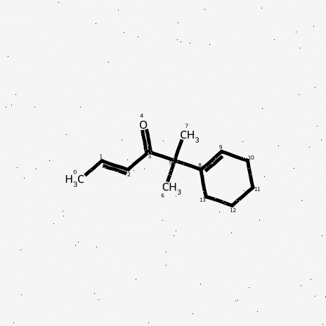 CC=CC(=O)C(C)(C)C1=CCCCC1